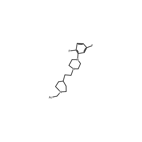 CC(=O)CN1CCC(CCN2CCN(c3cc(F)ccc3F)CC2)CC1